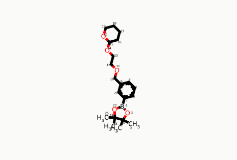 CC1(C)OB(c2cccc(COCCOC3CCCCO3)c2)OC1(C)C